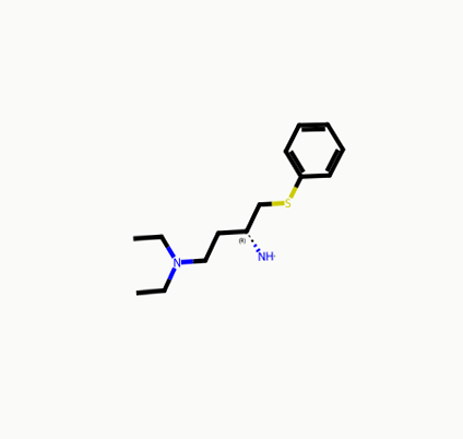 CCN(CC)CC[C@@H]([NH])CSc1ccccc1